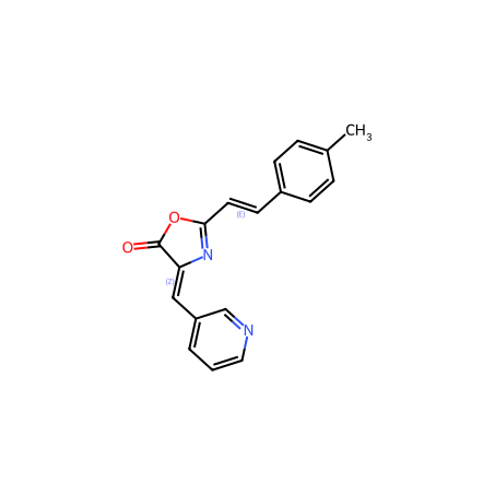 Cc1ccc(/C=C/C2=NC(=C\c3cccnc3)/C(=O)O2)cc1